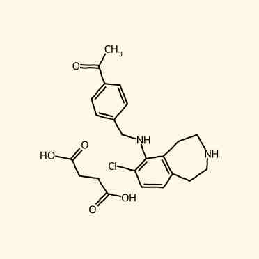 CC(=O)c1ccc(CNc2c(Cl)ccc3c2CCNCC3)cc1.O=C(O)CCC(=O)O